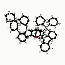 c1ccc(-c2cccc(-n3c4ccc(-n5c6ccccc6c6cccc([Si](c7ccccc7)(c7ccccc7)c7ccccc7)c65)cc4c4cccc(-c5ccccc5)c43)c2)cc1